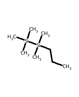 C[CH]C[Si](C)(C)[Si](C)(C)C